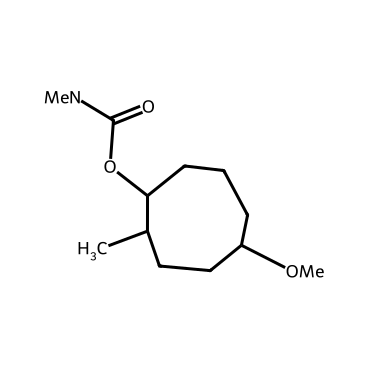 CNC(=O)OC1CCCC(OC)CCC1C